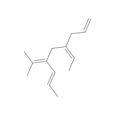 C=CCC(=CC)CC(C=CC)=C(C)C